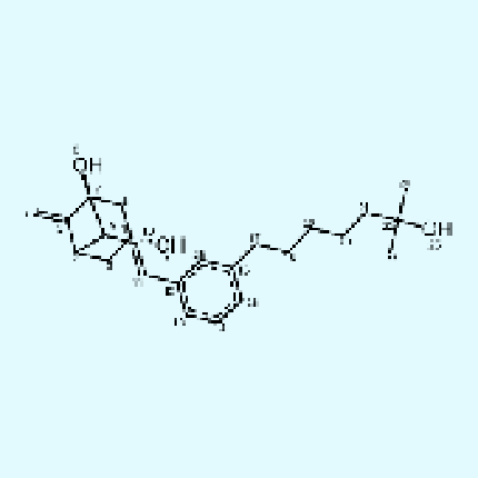 C=C1C2C[C@@H](O)C[C@]1(O)C2/C=C/c1cccc(CCCCCC(C)(C)O)c1